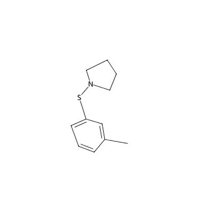 Cc1cccc(SN2CCCC2)c1